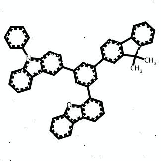 CC1(C)c2ccccc2-c2ccc(-c3cc(-c4ccc5c(c4)c4ccccc4n5-c4ccccc4)cc(-c4cccc5c4oc4ccccc45)c3)cc21